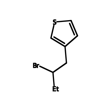 CCC(Br)Cc1ccsc1